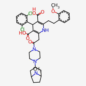 COc1ccccc1CCC1=C(C(=O)O)C(c2c(Cl)cccc2Cl)C(C(=O)O)=C(CC(=O)N2CCN(C3CC4CCC(C3)N4C)CC2)N1